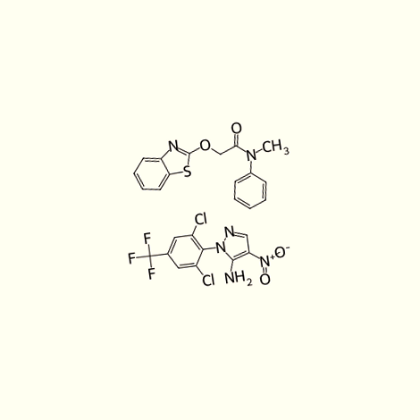 CN(C(=O)COc1nc2ccccc2s1)c1ccccc1.Nc1c([N+](=O)[O-])cnn1-c1c(Cl)cc(C(F)(F)F)cc1Cl